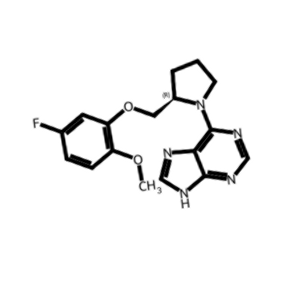 COc1ccc(F)cc1OC[C@H]1CCCN1c1ncnc2[nH]cnc12